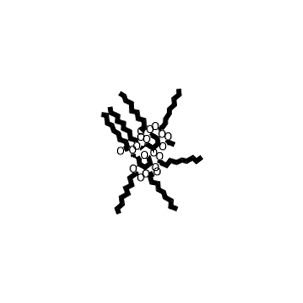 CCCCCCCCC(=O)OC[C@H]1O[C@@H](O[C@H]2[C@H](OC(C)=O)[C@@H](OC(=O)CCCCCCCC)[C@H](OC(=O)CCCCCCCC)O[C@@H]2COC(=O)CCCCCCCC)[C@H](OC(=O)CCCCCCCC)[C@@H](OC(=O)CCCCCCCC)[C@@H]1OC(=O)CCCCCCCC